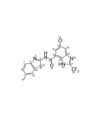 Cc1ccc2nc(NC(=O)c3cc(Cl)cc4nc(C(F)(F)F)[nH]c34)sc2c1